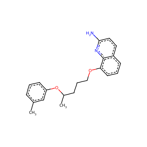 Cc1cccc(OC(C)CCCOc2cccc3ccc(N)nc23)c1